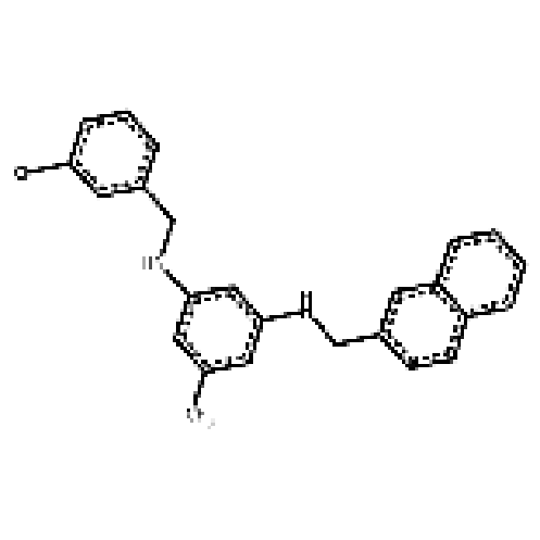 FC(F)(F)c1cc(NCc2cccc(Cl)c2)cc(NCc2ccc3ccccc3c2)c1